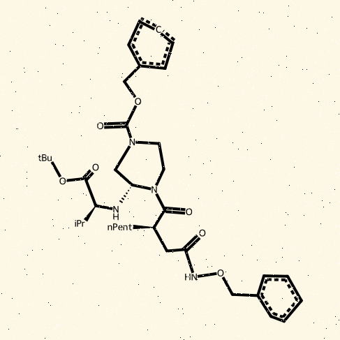 CCCCC[C@H](CC(=O)NOCc1ccccc1)C(=O)N1CCN(C(=O)OCc2ccccc2)C[C@H]1N[C@H](C(=O)OC(C)(C)C)C(C)C